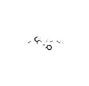 Cc1c(OCC(F)(F)F)ccnc1CSc1nc2ccccc2n1C(=O)N(C)CCOC(=O)CN(C)C